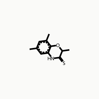 Cc1cc(C)c2c(c1)NC(=S)C(C)O2